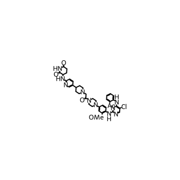 COc1cc(N2CCN(C(=O)CN3CCC(c4ccc(NC5CCC(=O)NC5=O)nc4)CC3)CC2)ccc1Nc1ncc(Cl)c(Nc2ccccc2C(C)=O)n1